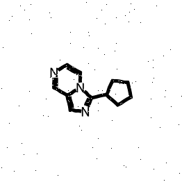 c1cn2c(C3CCCC3)ncc2cn1